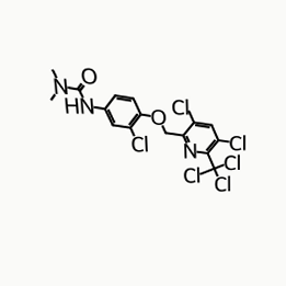 CN(C)C(=O)Nc1ccc(OCc2nc(C(Cl)(Cl)Cl)c(Cl)cc2Cl)c(Cl)c1